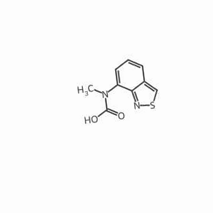 CN(C(=O)O)c1cccc2csnc12